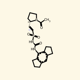 CC(=O)N1CCC[C@H]1/C=C/S(=O)(=O)NC(=O)Nc1c2c(cc3c1CCC3)CCC2